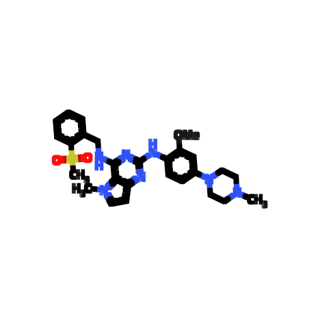 COc1cc(N2CCN(C)CC2)ccc1Nc1nc(NCc2ccccc2S(C)(=O)=O)c2c(ccn2C)n1